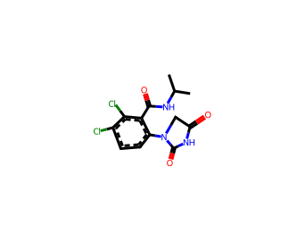 CC(C)NC(=O)c1c(N2CC(=O)NC2=O)ccc(Cl)c1Cl